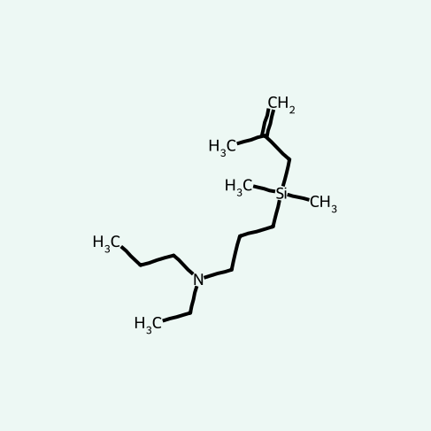 C=C(C)C[Si](C)(C)CCCN(CC)CCC